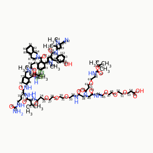 CNCc1cc(NC(=O)[C@H](CCCNC(N)=O)NC(=O)[C@@H](NC(=O)CCOCCOCCOCCNC(=O)CN(CC(=O)NCCOCCOCCOCCC(=O)O)C(=O)CCOCCNC(=O)OC(C)(C)C)C(C)C)ccc1C[N+](C)(C)C(CC[C@@H]1Cc2ccccc2CN1C(=O)c1ccc(Cl)cc1-c1cc(C(=O)N(c2ccc(O)cc2)c2cc(C#N)n(C)c2C)c(C)n1C)OC(=O)C(F)(F)F